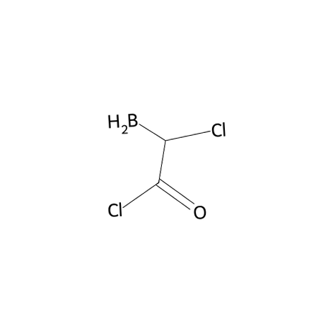 BC(Cl)C(=O)Cl